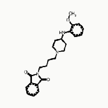 COc1ccccc1NC1CCN(CCCCN2C(=O)c3ccccc3C2=O)CC1